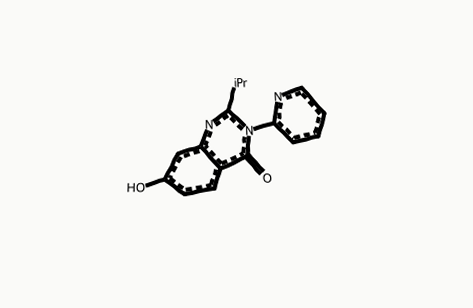 CC(C)c1nc2cc(O)ccc2c(=O)n1-c1ccccn1